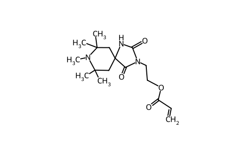 C=CC(=O)OCCN1C(=O)NC2(CC(C)(C)N(C)C(C)(C)C2)C1=O